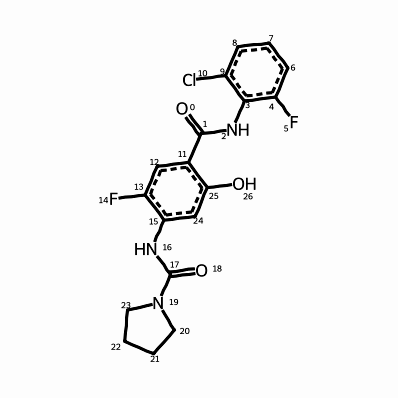 O=C(Nc1c(F)cccc1Cl)c1cc(F)c(NC(=O)N2CCCC2)cc1O